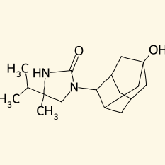 CC(C)C1(C)CN(C2C3CC4CC2CC(O)(C4)C3)C(=O)N1